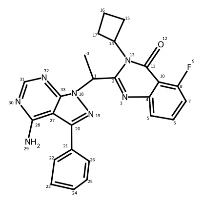 CC(c1nc2cccc(F)c2c(=O)n1C1CCC1)n1nc(-c2ccccc2)c2c(N)ncnc21